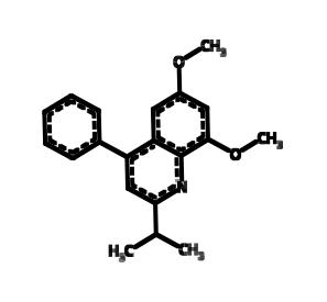 COc1cc(OC)c2nc(C(C)C)cc(-c3ccccc3)c2c1